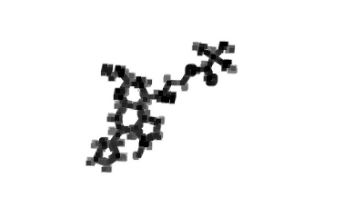 Cn1ccc2c3c(NCCOC(=O)C(F)(F)F)nc(N)nc3cc(-c3cccs3)c21